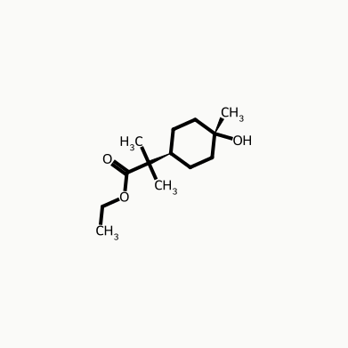 CCOC(=O)C(C)(C)[C@H]1CC[C@](C)(O)CC1